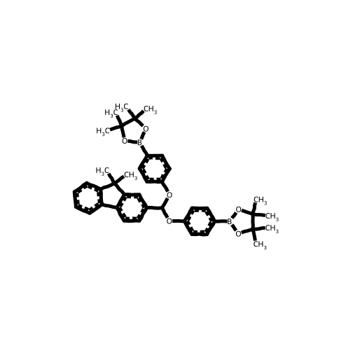 CC1(C)c2ccccc2-c2ccc(C(Oc3ccc(B4OC(C)(C)C(C)(C)O4)cc3)Oc3ccc(B4OC(C)(C)C(C)(C)O4)cc3)cc21